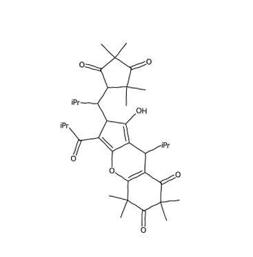 CC(C)C(=O)C1=C2OC3=C(C(=O)C(C)(C)C(=O)C3(C)C)C(C(C)C)C2=C(O)C1C(C(C)C)C1C(=O)C(C)(C)C(=O)C1(C)C